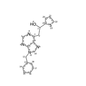 OC(Cc1ncnc2c1ncn2Cc1ccccc1)c1cccs1